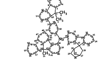 CC1(C)c2ccccc2-c2cccc(-c3ccc(N(c4ccc5c(c4)C4(CC6CCC4C6)c4ccccc4-5)c4cccc5c4-c4ccccc4C5(C)c4ccccc4)cc3)c21